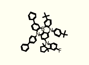 CC(C)(C)c1ccc(N2c3ccc(C(C)(C)C)cc3B3c4cc(-c5ccccc5)ccc4N(c4ccc(-c5ccccc5)cc4)c4cc(N5c6ccc(F)cc6C6(C)CCCC56C)cc2c43)cc1